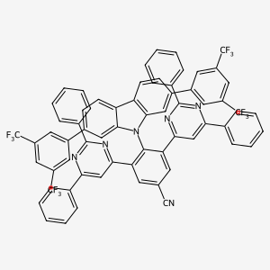 N#Cc1cc(-c2cc(-c3ccccc3)nc(-c3ccccc3)n2)c(-n2c3cc(-c4cc(C(F)(F)F)cc(C(F)(F)F)c4)ccc3c3ccc(-c4cc(C(F)(F)F)cc(C(F)(F)F)c4)cc32)c(-c2cc(-c3ccccc3)nc(-c3ccccc3)n2)c1